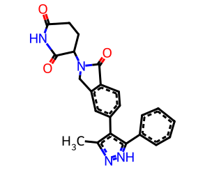 Cc1n[nH]c(-c2ccccc2)c1-c1ccc2c(c1)CN(C1CCC(=O)NC1=O)C2=O